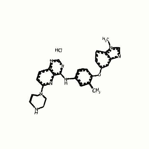 Cc1cc(Nc2ncnc3ccc(N4CCNCC4)nc23)ccc1Oc1ccc2c(c1)ncn2C.Cl